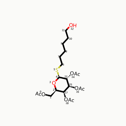 CC(=O)OC[C@H]1O[C@@H](SCCCCCCO)[C@H](OC(C)=O)[C@@H](OC(C)=O)[C@H]1OC(C)=O